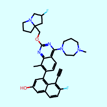 C#Cc1c(F)ccc2cc(O)cc(-c3ccc4c(N5CCCN(C)CC5)nc(OCC56CCCN5CC(F)C6)nc4c3C)c12